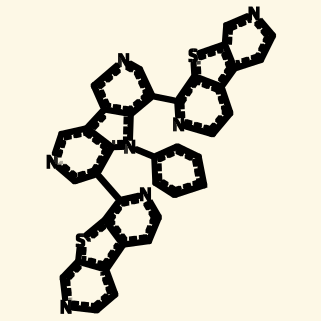 c1ccc(-n2c3c(-c4nccc5c4sc4cnccc45)cncc3c3cncc(-c4nccc5c4sc4cnccc45)c32)cc1